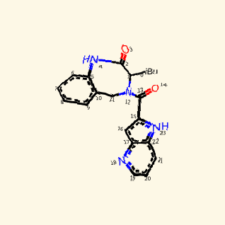 CCC(C)C1C(=O)Nc2ccccc2CN1C(=O)c1cc2ncccc2[nH]1